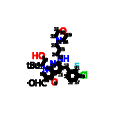 CC(C)(C)[C@@H](CO)n1cc([C]=O)c(=O)c2cc(Cc3cccc(Cl)c3F)c(NCCCN3CCOCC3)nc21